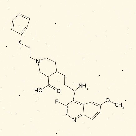 COc1ccc2ncc(F)c(C(N)CCC3CCN(CCSc4ccccc4)CC3C(=O)O)c2c1